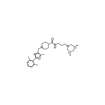 Cc1cccc(C)c1-c1nc(CN2CCC(C(=O)NCCCN3C[C@H](C)C[C@H](C)C3)CC2)c(C)o1